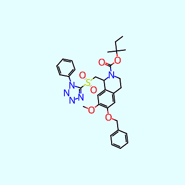 CCC(C)(C)OC(=O)N1CCc2cc(OCc3ccccc3)c(OC)cc2C1CS(=O)(=O)c1nnnn1-c1ccccc1